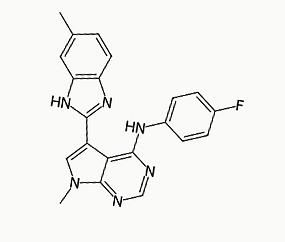 Cc1ccc2nc(-c3cn(C)c4ncnc(Nc5ccc(F)cc5)c34)[nH]c2c1